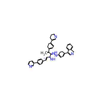 C=C(C1=CC=C(C2=CN=CCC2)CC1)/C(=N/NC1=CC=C(c2cncc3ccccc23)CC1)C(=N)/C=C/c1ccc(-c2cccnc2)cc1